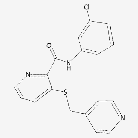 O=C(Nc1cccc(Cl)c1)c1ncccc1SCc1ccncc1